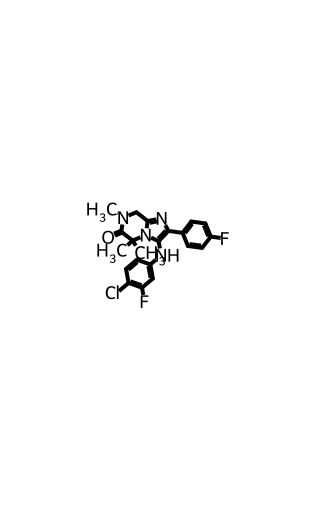 CN1Cc2nc(-c3ccc(F)cc3)c(Nc3ccc(Cl)c(F)c3)n2C(C)(C)C1=O